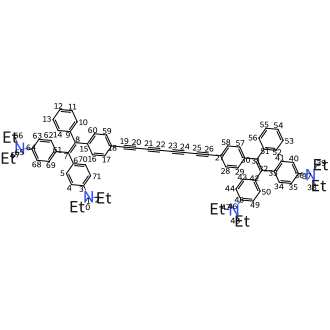 CCN(CC)c1ccc(C(=C(c2ccccc2)c2ccc(C#CC#CC#CC#Cc3ccc(C(=C(c4ccc(N(CC)CC)cc4)c4ccc(N(CC)CC)cc4)c4ccccc4)cc3)cc2)c2ccc(N(CC)CC)cc2)cc1